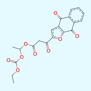 CCOC(=O)OC(C)OC(=O)CC(=O)c1cc2c(o1)C(=O)c1ccccc1C2=O